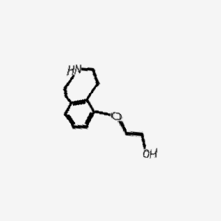 OCCOc1cccc2c1CCNC2